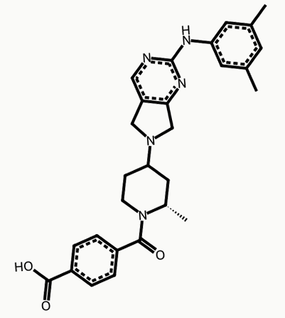 Cc1cc(C)cc(Nc2ncc3c(n2)CN(C2CCN(C(=O)c4ccc(C(=O)O)cc4)[C@@H](C)C2)C3)c1